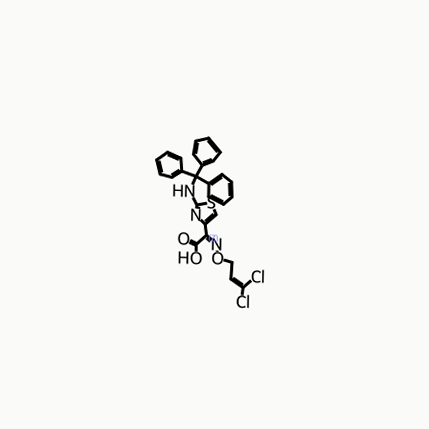 O=C(O)/C(=N\OCC=C(Cl)Cl)c1csc(NC(c2ccccc2)(c2ccccc2)c2ccccc2)n1